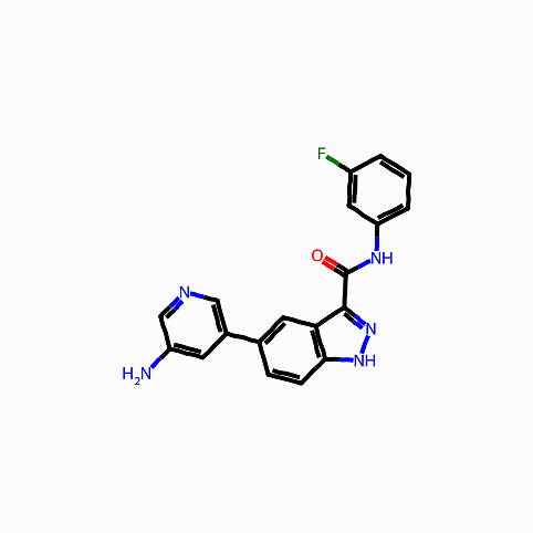 Nc1cncc(-c2ccc3[nH]nc(C(=O)Nc4cccc(F)c4)c3c2)c1